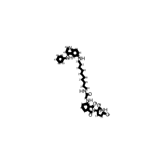 O=C(CNc1cccc2c1C(=O)N(C1CCC(=O)NC1=O)C2=O)NCCCCCCCCCCNc1ccc2nccc(Nc3ccccc3)c2c1